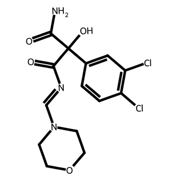 NC(=O)C(O)(C(=O)N=CN1CCOCC1)c1ccc(Cl)c(Cl)c1